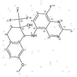 COc1ccc2c(c1)C(Nc1ccc(F)c3nc(C)ncc13)C(O)(C(F)(F)F)CC2